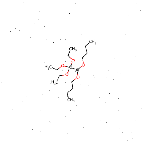 CCCC[O][Al]([O]CCCC)[Si](OCC)(OCC)OCC